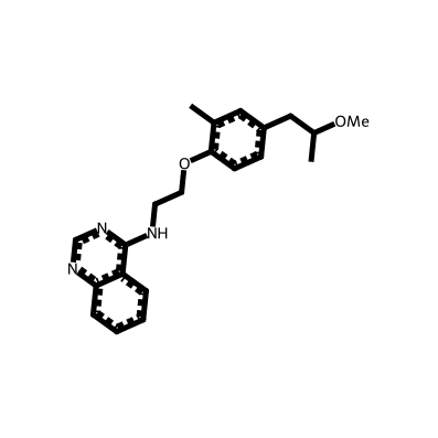 COC(C)Cc1ccc(OCCNc2ncnc3ccccc23)c(C)c1